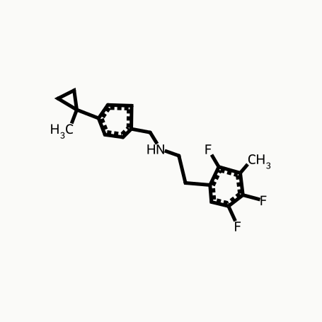 Cc1c(F)c(F)cc(CCNCc2ccc(C3(C)CC3)cc2)c1F